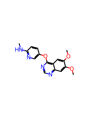 CNc1ccc(Oc2ncnc3cc(OC)c(OC)cc23)cn1